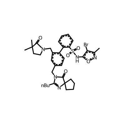 CCCCC1=NC2(CCCC2)C(=O)N1Cc1ccc(-c2ccccc2S(=O)(=O)Nc2onc(C)c2Br)c(CN2CCC(C)(C)C2=O)c1